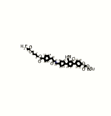 C=CC(=O)OCCCCOC(=O)c1ccc(CC(=O)/C=C/c2ccc(-c3ccc(-c4ccc(OC(=O)OCCCC)cc4)c(Cl)c3C=N)cc2)cc1